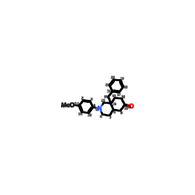 COc1ccc(N2CCC3CC(=O)CCC3(Cc3ccccc3)C2)cc1